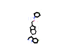 C[C@H]1C[C@@H](c2ccnc3ccc(F)cc23)C[C@H]2CC(CC(=O)Nc3ccc(Cl)cc3)=C[C@H]21